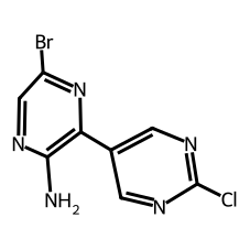 Nc1ncc(Br)nc1-c1cnc(Cl)nc1